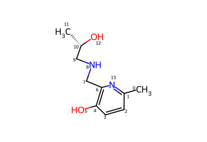 Cc1ccc(O)c(CNC[C@H](C)O)n1